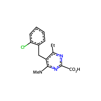 CCc1nc(C(=O)O)nc(NC)c1Cc1ccccc1Cl